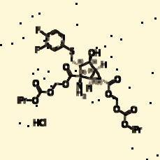 CC(C)OC(=O)OCOC(=O)[C@H]1[C@@H]2[C@H](O)[C@@H](CSc3ccc(F)c(F)c3)[C@@](N)(C(=O)OCOC(=O)OC(C)C)[C@H]12.Cl